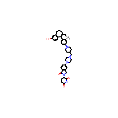 O=C1CC[C@H](N2Cc3cc(N4CCN(CC5CCN(c6ccc(C7=C(CC(F)(F)F)CCCc8cc(O)ccc87)cc6)CC5)CC4)ccc3C2=O)C(=O)N1